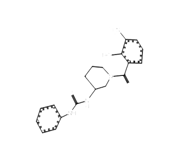 Nc1cccc(C(=O)N2CCCC(NC(=O)Nc3ccccc3)C2)c1O